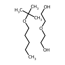 CCCCCOC(C)(C)C.OCCOCCO